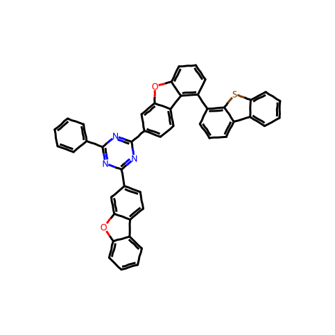 c1ccc(-c2nc(-c3ccc4c(c3)oc3ccccc34)nc(-c3ccc4c(c3)oc3cccc(-c5cccc6c5sc5ccccc56)c34)n2)cc1